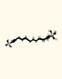 C[Si](C)(C)C#CCCCCCCCCC#C[Si](C)(C)C